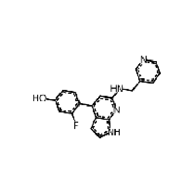 Oc1ccc(-c2cc(NCc3cccnc3)nc3[nH]ccc23)c(F)c1